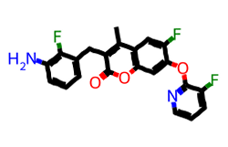 Cc1c(Cc2cccc(N)c2F)c(=O)oc2cc(Oc3ncccc3F)c(F)cc12